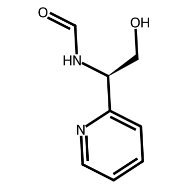 O=CN[C@@H](CO)c1ccccn1